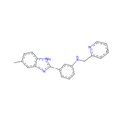 Cc1ccc2[nH]c(-c3cccc(NCc4ccccn4)c3)nc2c1